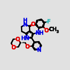 COc1c(F)cccc1Nc1c(-c2ccncc2OC[C@@H]2COCCO2)[nH]c2c1C(=O)NCC2